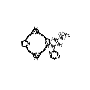 C1=Cc2cc3ccc(cc4nc(cc5ccc(cc1n2)[nH]5)C=C4)[nH]3.CCCCCCCCCCNNNNc1cnccn1